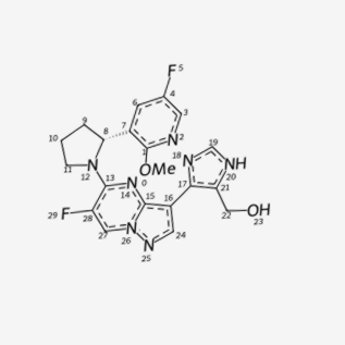 COc1ncc(F)cc1[C@H]1CCCN1c1nc2c(-c3nc[nH]c3CO)cnn2cc1F